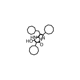 O=c1c(C2CCCCCCCC2)c(O)[nH]c2c(CC3CCCCCCC3)c(C3CCCCCCCC3)nn12